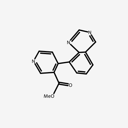 COC(=O)c1cnccc1-c1cccc2cncnc12